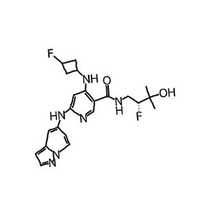 CC(C)(O)[C@H](F)CNC(=O)c1cnc(Nc2ccn3nccc3c2)cc1NC1CC(F)C1